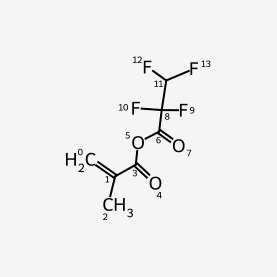 C=C(C)C(=O)OC(=O)C(F)(F)C(F)F